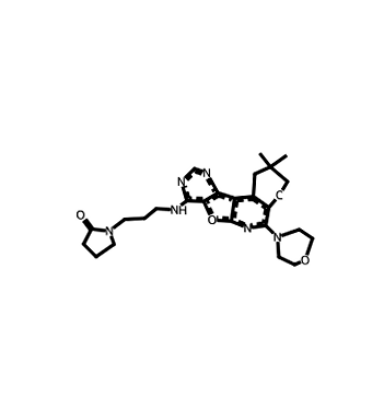 CC1(C)CCc2c(N3CCOCC3)nc3oc4c(NCCCN5CCCC5=O)ncnc4c3c2C1